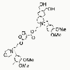 COc1ccc(C[C@@H]2c3cc(CO)c(CO)cc3CC[N@@+]2(C)CCCOC(=O)/C(Cl)=C/C(=O)OCCC[N+]2(Cc3cc(C)c(OC)c(OC)c3)CCOCC2)cc1OC